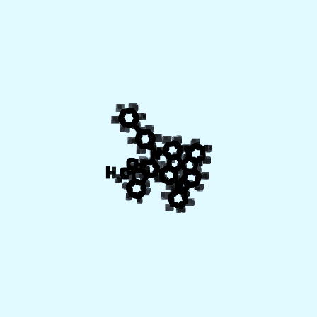 CC1(C)c2ccccc2-c2ccc(N(c3ccc(-c4ccccc4)cc3)c3cccc4c3-c3ccccc3C43c4ccccc4-c4ccc5c(sc6ccccc65)c43)cc21